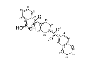 O=S(=O)(c1ccc2c(c1)OCCO2)N1CCN(S(=O)(=O)c2ccccc2B(O)O)CC1